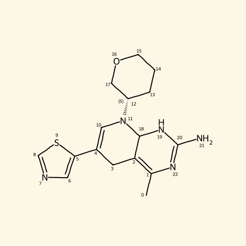 CC1=C2CC(c3cncs3)=CN([C@H]3CCCOC3)C2NC(N)=N1